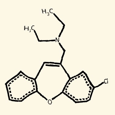 CCN(CC)CC1=Cc2ccccc2Oc2ccc(Cl)cc21